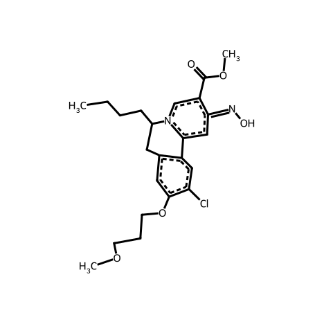 CCCCC1Cc2cc(OCCCOC)c(Cl)cc2-c2cc(=NO)c(C(=O)OC)cn21